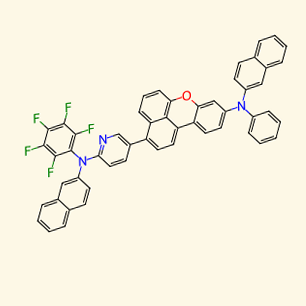 Fc1c(F)c(F)c(N(c2ccc3ccccc3c2)c2ccc(-c3ccc4c5c(cccc35)Oc3cc(N(c5ccccc5)c5ccc6ccccc6c5)ccc3-4)cn2)c(F)c1F